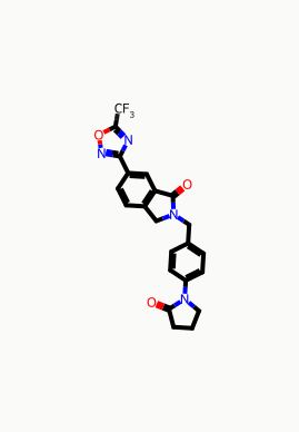 O=C1c2cc(-c3noc(C(F)(F)F)n3)ccc2CN1Cc1ccc(N2CCCC2=O)cc1